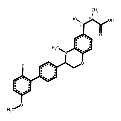 COc1ccc(F)c(-c2ccc(C3COc4ccc([C@H](O)[C@H](C)C(=O)O)cc4N3C)cc2)c1